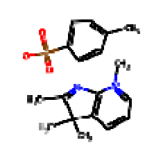 CC1=Nc2c(ccc[n+]2C)C1(C)C.Cc1ccc(S(=O)(=O)[O-])cc1